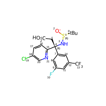 CC(C)(C)[S@+]([O-])N[C@](CC(=O)O)(c1cc(F)cc(C(F)(F)F)c1)c1ccc(Cl)cn1